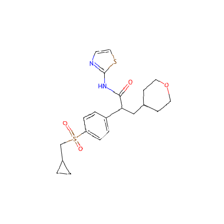 O=C(Nc1nccs1)C(CC1CCOCC1)c1ccc(S(=O)(=O)CC2CC2)cc1